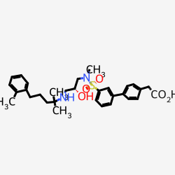 Cc1ccccc1CCCC(C)(C)NC[C@@H](O)CN(C)S(=O)(=O)c1cccc(-c2ccc(CC(=O)O)cc2)c1